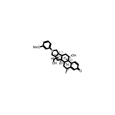 COc1cccc(N2C[C@@H]3C[C@H]4[C@@H]5C[C@H](F)C6=CC(=O)C=C[C@]6(C)[C@@]5(F)[C@@H](O)C[C@]4(C)[C@]3(C(=O)CO)C2)c1